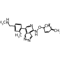 C=C(F)/C=C\C(=C)ONc1ncc(-c2ccc(CNC)cc2C)c2cnncc12